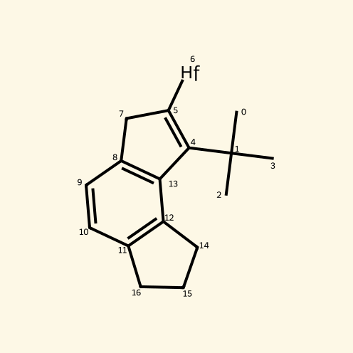 CC(C)(C)C1=[C]([Hf])Cc2ccc3c(c21)CCC3